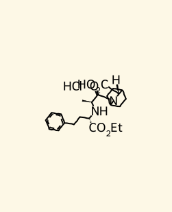 CCOC(=O)[C@H](CCc1ccccc1)N[C@@H](C)C(=O)N1C2CCC(CC2)[C@H]1C(=O)O.Cl